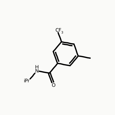 Cc1cc(C(=O)NC(C)C)cc(C(F)(F)F)c1